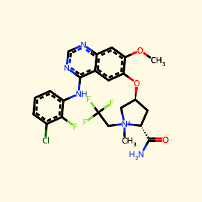 COc1cc2ncnc(Nc3cccc(Cl)c3F)c2cc1O[C@H]1C[C@H](C(N)=O)[N+](C)(CC(F)(F)F)C1